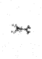 Cc1ccc(-c2cc(-c3ccc(-c4c(C)cc(-c5ccc(-n6c7ccc(-n8c9ccccc9c9ccccc98)cc7c7cc(-n8c9ccccc9c9ccccc98)ccc76)cc5)cc4C)cc3)nc(-c3ccc(C)cc3)n2)cc1